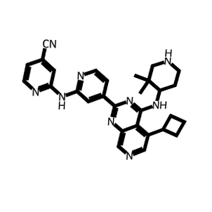 CC1(C)CNCCC1Nc1nc(-c2ccnc(Nc3cc(C#N)ccn3)c2)nc2cncc(C3CCC3)c12